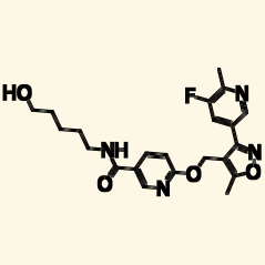 Cc1ncc(-c2noc(C)c2COc2ccc(C(=O)NCCCCCO)cn2)cc1F